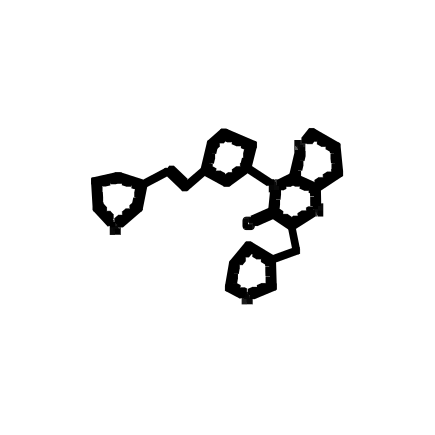 O=c1c(Cc2cccnc2)nc2cccnc2n1-c1cccc(C=Cc2cccnc2)c1